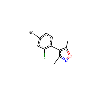 Cc1noc(C)c1-c1ccc(C#N)cc1F